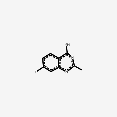 Cc1nc(S)c2ccc(F)cc2n1